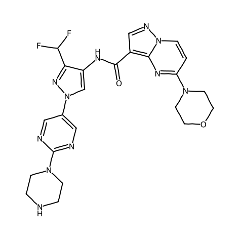 O=C(Nc1cn(-c2cnc(N3CCNCC3)nc2)nc1C(F)F)c1cnn2ccc(N3CCOCC3)nc12